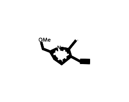 C#Cc1ccc(COC)nc1[CH2]